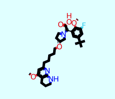 COc1cc(CCCCCO[C@@H]2CCN([C@@H](C(=O)O)c3cc(C(C)(C)C)cc(F)c3OC)C2)nc2c1CCCN2